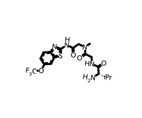 CC(C)[C@H](N)C(=O)NCC(=O)N(C)CC(=O)Nc1nc2ccc(OC(F)(F)F)cc2s1